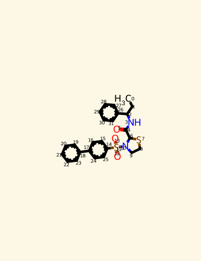 CCC(NC(=O)C1SCCN1S(=O)(=O)c1ccc(-c2ccccc2)cc1)c1ccccc1